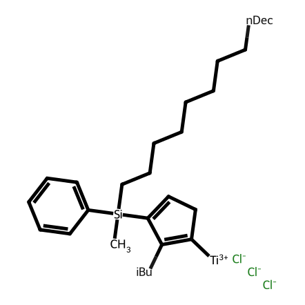 CCCCCCCCCCCCCCCCCC[Si](C)(C1=CC[C]([Ti+3])=C1C(C)CC)c1ccccc1.[Cl-].[Cl-].[Cl-]